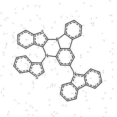 c1ccc2c(c1)B1c3sc4ccccc4c3N(c3csc4ccccc34)c3cc(-n4c5ccccc5c5ccccc54)cc-2c31